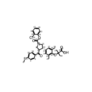 CSc1ccc(C(=O)C2CN(C(=O)Oc3ccccc3Cl)C[C@@H]2c2cc(C)c(OC(C)(C)C(=O)O)c(C)c2)cc1